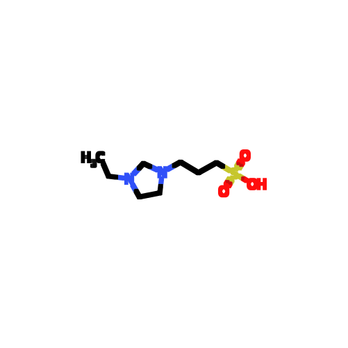 CCN1CCN(CCCS(=O)(=O)O)C1